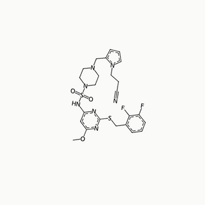 COc1cc(NS(=O)(=O)N2CCN(Cc3cccn3CCC#N)CC2)nc(SCc2cccc(F)c2F)n1